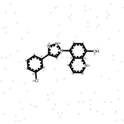 Oc1ccc(-n2cc(-c3cccc(Cl)c3)nn2)c2cccnc12